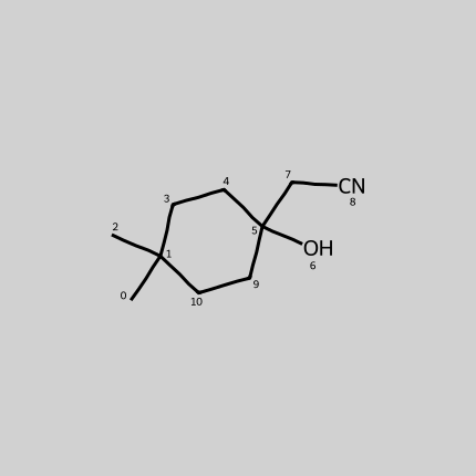 CC1(C)CCC(O)(CC#N)CC1